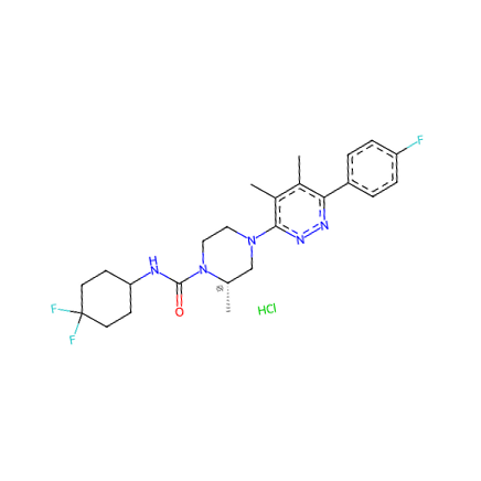 Cc1c(-c2ccc(F)cc2)nnc(N2CCN(C(=O)NC3CCC(F)(F)CC3)[C@@H](C)C2)c1C.Cl